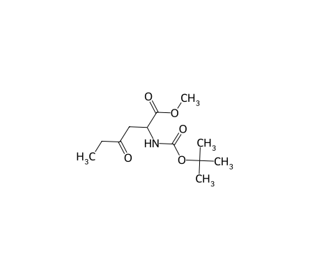 CCC(=O)CC(NC(=O)OC(C)(C)C)C(=O)OC